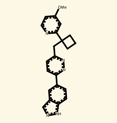 COc1ccnc(C2([CH]c3ccc(-c4ccc5[nH]ncc5c4)nn3)CCC2)c1